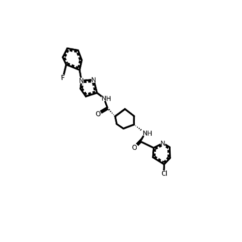 O=C(N[C@H]1CC[C@@H](C(=O)Nc2ccn(-c3ccccc3F)n2)CC1)c1cc(Cl)ccn1